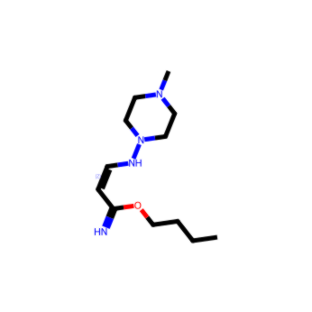 CCCCOC(=N)/C=C\NN1CCN(C)CC1